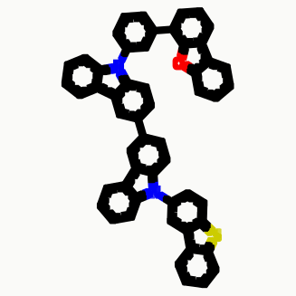 c1cc(-c2cccc3c2oc2ccccc23)cc(-n2c3ccccc3c3cc(-c4ccc5c(c4)c4ccccc4n5-c4ccc5sc6ccccc6c5c4)ccc32)c1